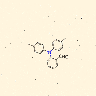 Cc1ccc(N(c2ccc(C)cc2)c2ccccc2C=O)cc1